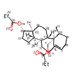 CCC(=O)OC[C@@]12C(=CCC[C@@H]1C)CC[C@H]1[C@@H]3CC[C@H](OC(=O)CC)[C@@]3(C)CC[C@@H]12